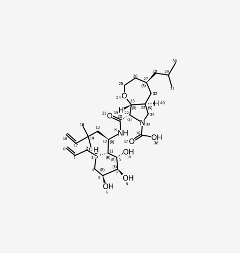 C=CC[SH]1C[C@H](O)[C@H](O)[C@@H](O)[C@H]1[C@@H](CC(C)(C)C=C)NC(=O)[C@@H]1[C@@H]2OCC[C@@H](CC(C)C)C[C@H]2CN1C(=O)O